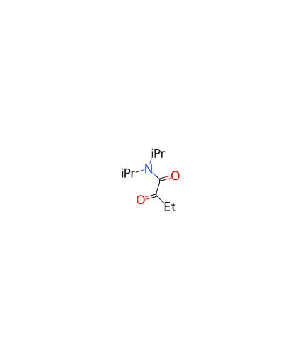 CCC(=O)C(=O)N(C(C)C)C(C)C